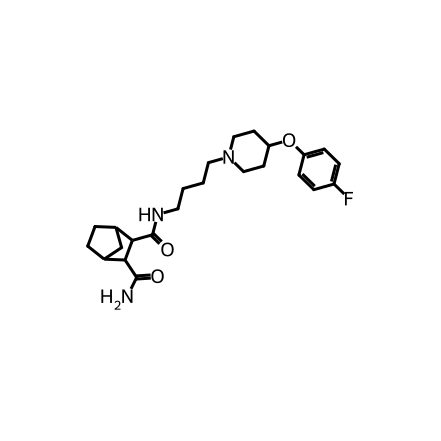 NC(=O)C1C2CCC(C2)C1C(=O)NCCCCN1CCC(Oc2ccc(F)cc2)CC1